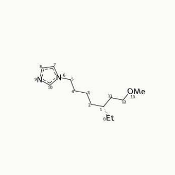 CC[C@H](CCCCn1ccnc1)CCOC